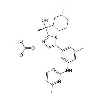 Cc1cc(Nc2nccc(C)n2)cc(-c2cnc([C@](C)(O)[C@H]3CCC[C@@H](C)C3)s2)c1.O=C(O)O